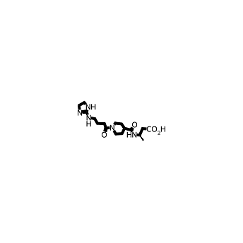 C[C@H](CC(=O)O)NC(=O)C1CCN(C(=O)CCCNC2=NCCN2)CC1